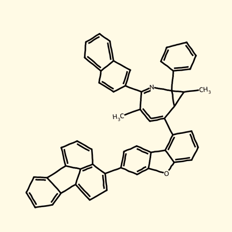 CC1=C=C(c2cccc3oc4cc(-c5ccc6c7c(cccc57)-c5ccccc5-6)ccc4c23)C2C(C)C2(c2ccccc2)N=C1c1ccc2ccccc2c1